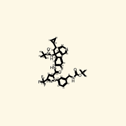 CC(C)(C)OC(=O)NCc1cccc(-n2nc(C(F)(F)F)cc2C(=O)Nc2cc(C(CCC3CC3)(N[S@@+]([O-])C(C)(C)C)c3ccncc3)ccc2F)c1